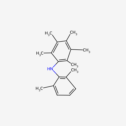 Cc1cccc(C)c1Nc1c(C)c(C)c(C)c(C)c1C